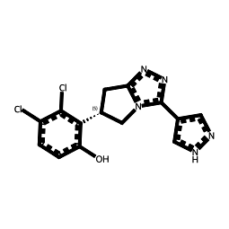 Oc1ccc(Cl)c(Cl)c1[C@@H]1Cc2nnc(-c3cn[nH]c3)n2C1